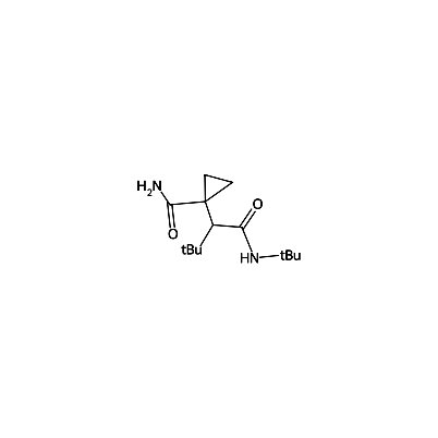 CC(C)(C)NC(=O)C(C(C)(C)C)C1(C(N)=O)CC1